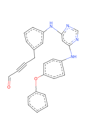 O=CC#CCc1cccc(Nc2cc(Nc3ccc(Oc4ccccc4)cc3)ncn2)c1